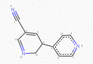 N#CC1=CC(c2ccncc2)CN=C1